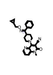 Cn1c(=O)c(C#N)c(N2CCC(/C(=N/OCC3CC3)c3ccccc3)CC2)c2ncccc21